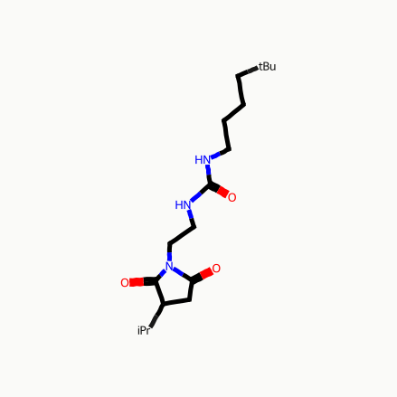 CC(C)C1CC(=O)N(CCNC(=O)NCCCCC(C)(C)C)C1=O